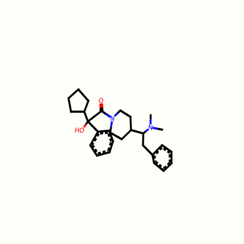 CN(C)C(Cc1ccccc1)C1CCN(C(=O)C(O)(c2ccccc2)C2CCCC2)CC1